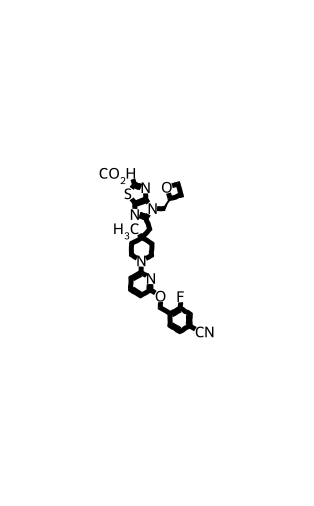 CC1(Cc2nc3sc(C(=O)O)nc3n2C[C@@H]2CCO2)CCN(c2cccc(OCc3ccc(C#N)cc3F)n2)CC1